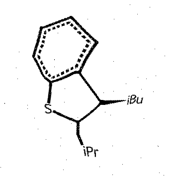 CC[C@H](C)C1c2ccccc2SC1C(C)C